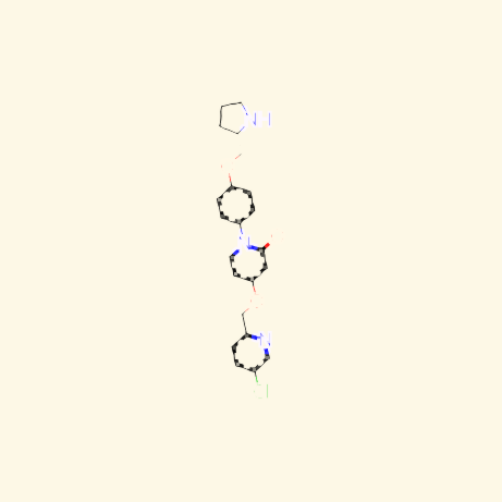 O=c1cc(OCc2ccc(Cl)cn2)ccn1-c1ccc(OC[C@@H]2CCCN2)cc1